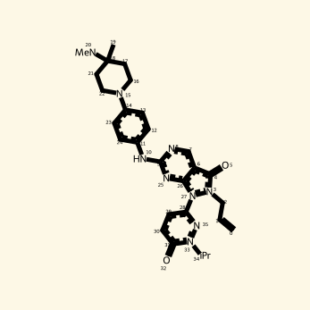 C=CCn1c(=O)c2cnc(Nc3ccc(N4CCC(C)(NC)CC4)cc3)nc2n1-c1ccc(=O)n(C(C)C)n1